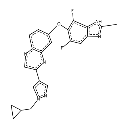 Cc1nc2cc(F)c(Oc3ccc4ncc(-c5cnn(CC6CC6)c5)nc4c3)c(F)c2[nH]1